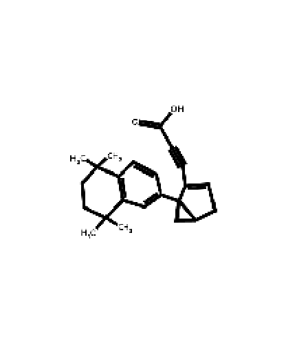 CC1(C)CCC(C)(C)c2cc(C34CC3CC=C4C#CC(=O)O)ccc21